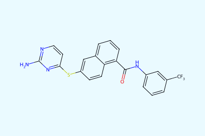 Nc1nccc(Sc2ccc3c(C(=O)Nc4cccc(C(F)(F)F)c4)cccc3c2)n1